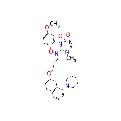 COc1ccc(ON(CCCOC2CCc3cccc(N4CCCCC4)c3C2)C2=NS(=O)(=O)N=CN2C)cc1